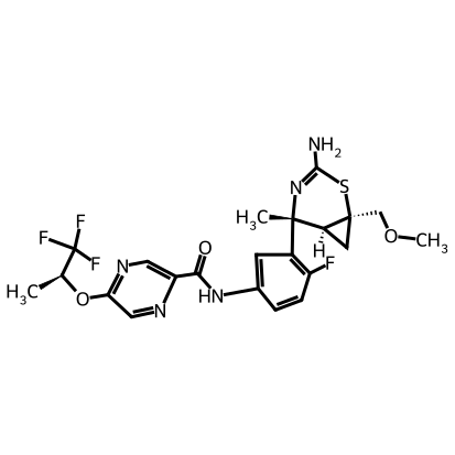 COC[C@]12C[C@H]1[C@](C)(c1cc(NC(=O)c3cnc(O[C@@H](C)C(F)(F)F)cn3)ccc1F)N=C(N)S2